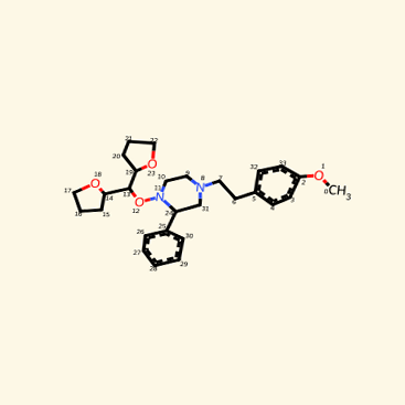 COc1ccc(CCN2CCN(OC(C3CCCO3)C3CCCO3)C(c3ccccc3)C2)cc1